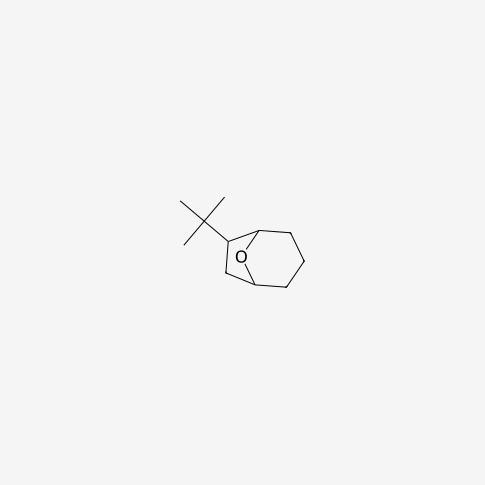 CC(C)(C)C1CC2CCCC1O2